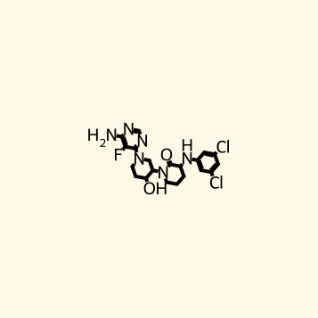 Nc1ncnc(N2CCC(O)C(N3CCCC(Nc4cc(Cl)cc(Cl)c4)C3=O)C2)c1F